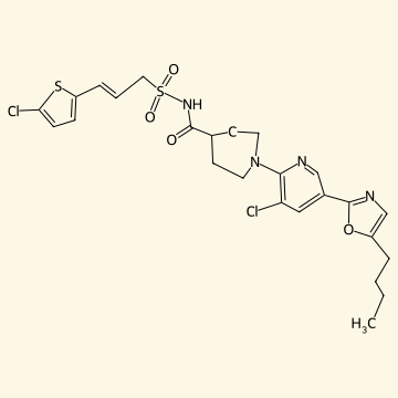 CCCCc1cnc(-c2cnc(N3CCC(C(=O)NS(=O)(=O)CC=Cc4ccc(Cl)s4)CC3)c(Cl)c2)o1